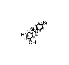 O=S(=O)(c1ccc(Br)cc1)C1CNCC(O)C1